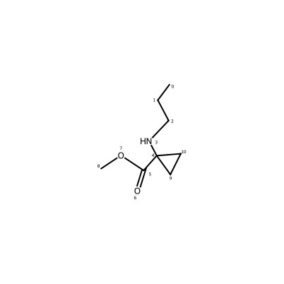 CCCNC1(C(=O)OC)CC1